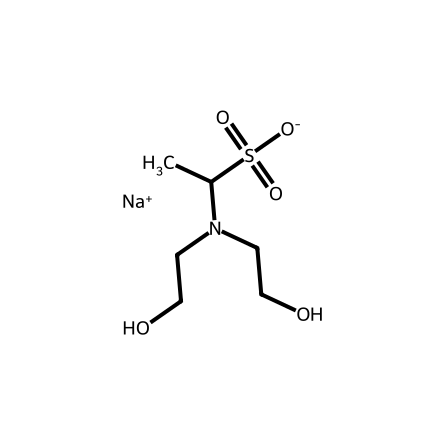 CC(N(CCO)CCO)S(=O)(=O)[O-].[Na+]